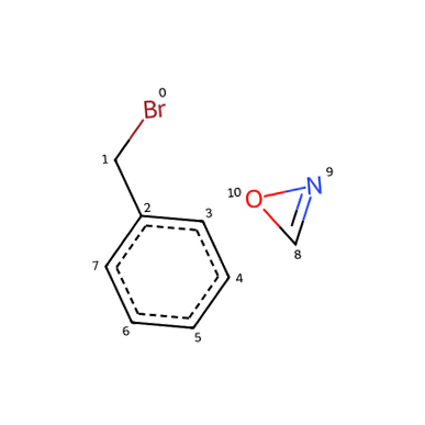 BrCc1ccccc1.C1=NO1